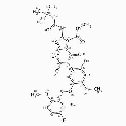 COC(=O)c1c(NC(=O)OC(C)(C)C)sc2[nH]c(=O)n(-c3cc(OCc4c(OC)ccc(F)c4F)c(OC)cc3F)c(=O)c12